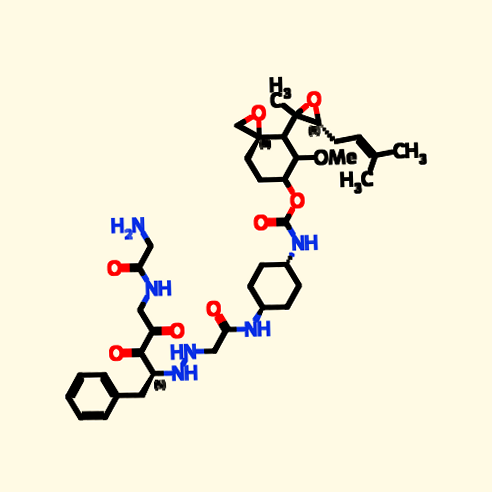 COC1C(OC(=O)N[C@H]2CC[C@H](NC(=O)CNN[C@@H](Cc3ccccc3)C(=O)C(=O)CNC(=O)CN)CC2)CC[C@]2(CO2)C1C1(C)O[C@@H]1CC=C(C)C